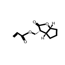 C=CC(=O)OC[C@@H]1C(=O)O[C@@H]2CCC[C@H]12